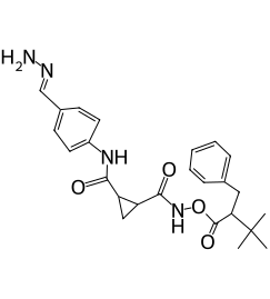 CC(C)(C)C(Cc1ccccc1)C(=O)ONC(=O)C1CC1C(=O)Nc1ccc(C=NN)cc1